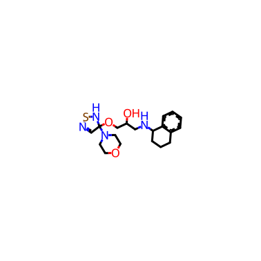 OC(CNC1CCCc2ccccc21)COC1(N2CCOCC2)C=NSN1